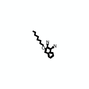 CCCCCCCCOc1cc2ccccc2c(C#N)c1C#N